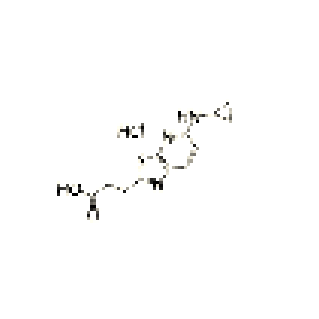 Cl.O=C(O)CCc1nc2ccc(NC3CC3)nc2s1